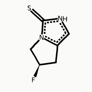 F[C@@H]1Cc2c[nH]c(=S)n2C1